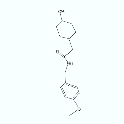 COc1ccc(CNC(=O)CC2CCC(O)CC2)cc1